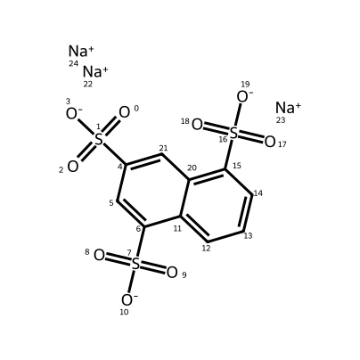 O=S(=O)([O-])c1cc(S(=O)(=O)[O-])c2cccc(S(=O)(=O)[O-])c2c1.[Na+].[Na+].[Na+]